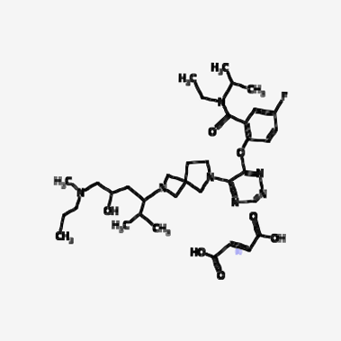 CCCN(C)CC(O)CC(C(C)C)N1CC2(CCN(c3ncnnc3Oc3ccc(F)cc3C(=O)N(CC)C(C)C)C2)C1.O=C(O)/C=C/C(=O)O